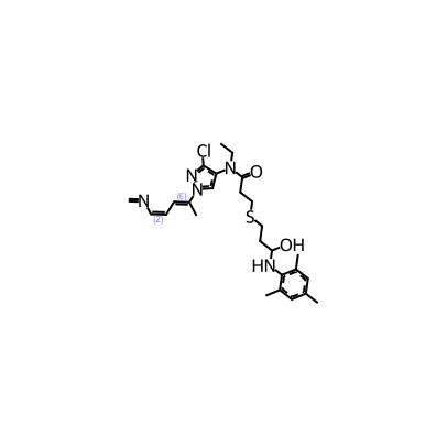 C=N/C=C\C=C(/C)n1cc(N(CC)C(=O)CCSCCC(O)Nc2c(C)cc(C)cc2C)c(Cl)n1